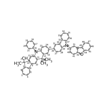 CC1(C)c2ccccc2-c2cc3c(cc21)N(c1ccccc1)c1ccc(-c2ccc4c(c2)c2ccccc2n4-c2ccc4oc5ccccc5c4c2)cc1C3(C)C